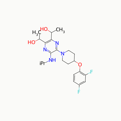 CC(C)Nc1nc(C(C)O)c(C(C)O)nc1N1CCC(Oc2ccc(F)cc2F)CC1